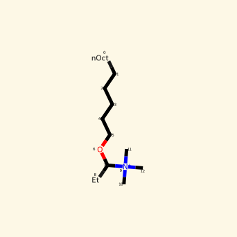 CCCCCCCCCCCCCOC(CC)[N+](C)(C)C